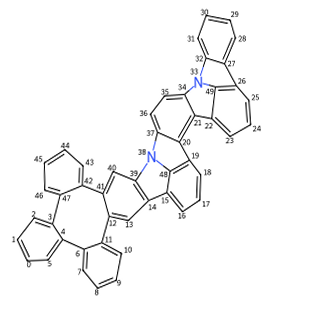 c1ccc2c(c1)-c1ccccc1-c1cc3c4cccc5c6c7c8cccc9c%10ccccc%10n(c7ccc6n(c3cc1-c1ccccc1-2)c45)c98